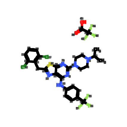 CC(C)N1CCN(c2nc(Nc3ccc(C(F)(F)F)cc3)c3nc(Cc4c(Cl)cccc4Cl)sc3n2)CC1.O=C(O)C(F)(F)F